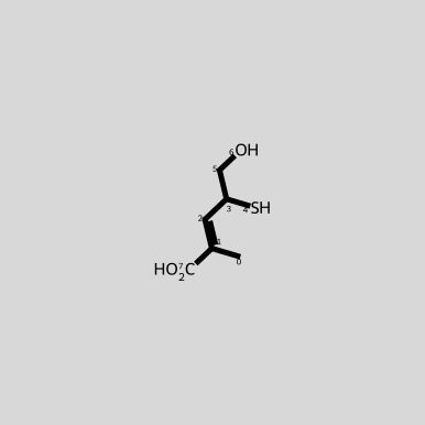 CC(=CC(S)CO)C(=O)O